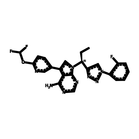 CC[C@@H](c1cn(-c2ccccc2F)nn1)n1cc(-c2ccc(OC(F)F)nc2)c2c(N)ncnc21